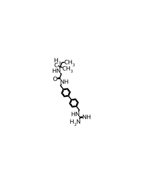 CCC(C)(C)NCC(=O)NCc1ccc(-c2ccc(CNC(=N)N)cc2)cc1